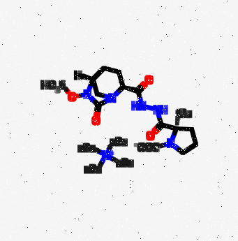 CC(C)(C)[C@]1(C(=O)NNC(=O)[C@@H]2CC[C@@H]3CN2C(=O)N3OS(=O)(=O)O)CCCN1C(=O)[O-].CCCC[N+](CCCC)(CCCC)CCCC